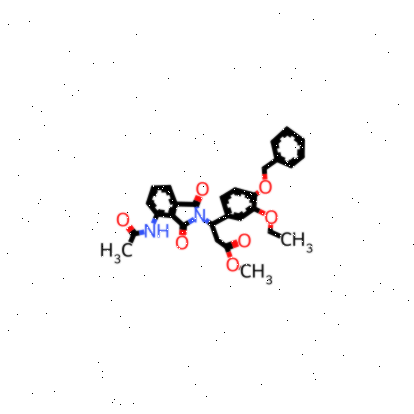 CCOc1cc(C(CC(=O)OC)N2C(=O)c3cccc(NC(C)=O)c3C2=O)ccc1OCc1ccccc1